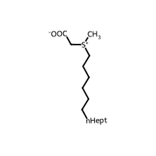 CCCCCCCCCCCCC[S+](C)CC(=O)[O-]